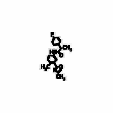 Cc1coc(-c2cc(NC(=O)[C@@H](C)c3ccc(F)cc3)ccc2C)n1